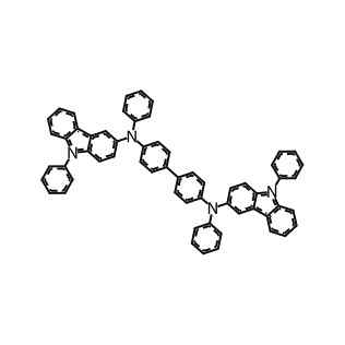 c1ccc(N(c2ccc(-c3ccc(N(c4ccccc4)c4ccc5c(c4)c4ccccc4n5-c4ccccc4)cc3)cc2)c2ccc3c(c2)c2ccccc2n3-c2ccccc2)cc1